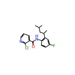 CC(C)CC(C)c1cc(F)ccc1NC(=O)c1cccnc1Cl